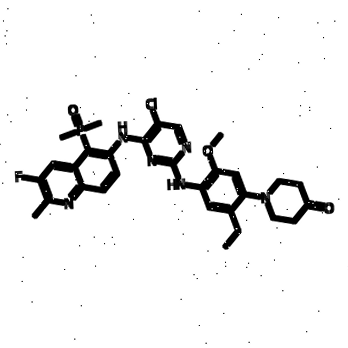 CCc1cc(Nc2ncc(Cl)c(Nc3ccc4nc(C)c(F)cc4c3P(C)(C)=O)n2)c(OC)cc1N1CCC(=O)CC1